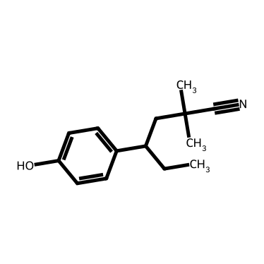 CCC(CC(C)(C)C#N)c1ccc(O)cc1